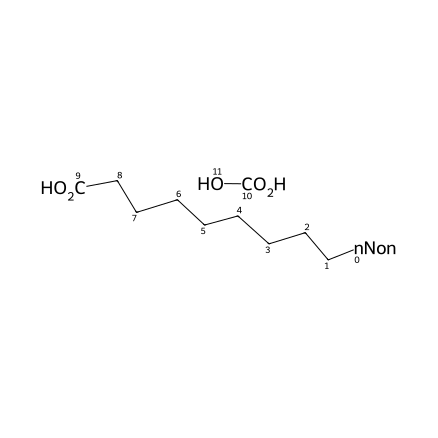 CCCCCCCCCCCCCCCCCC(=O)O.O=C(O)O